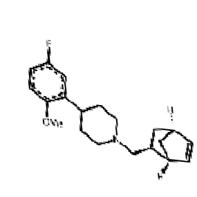 COc1ccc(F)cc1C1CCN(C[C@H]2C[C@H]3C=C[C@H]2C3)CC1